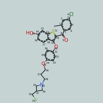 Cc1cc(Cl)ccc1C(=O)c1sc2cc(O)ccc2c1Oc1ccc(OCCCN2CC(CF)C2)cc1